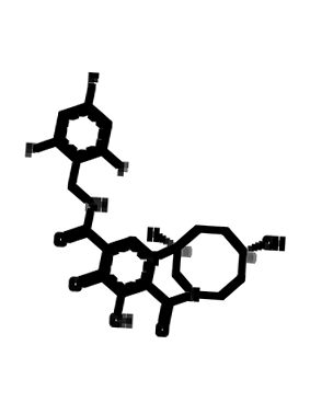 O=C(NCc1c(F)cc(F)cc1F)c1cn2c(c(O)c1=O)C(=O)N1CC[C@@H](O)CC[C@H]2C1